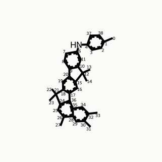 Cc1ccc(Nc2ccc3c(c2)C(C)(C)c2cc4c(cc2-3)C(C)(C)c2cc(C)c3cc(C)c(C)cc3c2-4)cc1